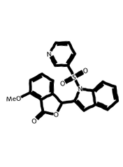 COc1cccc2c1C(=O)OC2c1cc2ccccc2n1S(=O)(=O)c1cccnc1